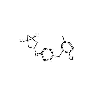 Cc1ccc(Cl)c(Cc2ccc(O[C@@H]3C[C@@H]4C[C@@H]4C3)cc2)c1